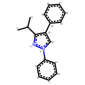 CC(C)c1nn(-c2ccccc2)cc1-c1ccccc1